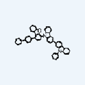 C1=CC2Oc3c(N4c5ccc(-c6ccc7c(c6)N(c6ccccc6)C6C=CCCC76)cc5C5CCC=CC54)ccc(-c4ccc(-c5ccccc5)cc4)c3C2C=C1